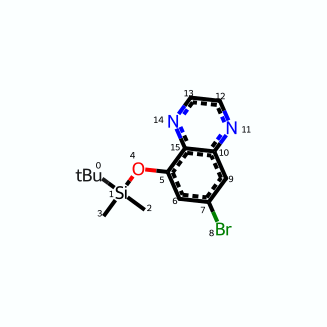 CC(C)(C)[Si](C)(C)Oc1cc(Br)cc2nccnc12